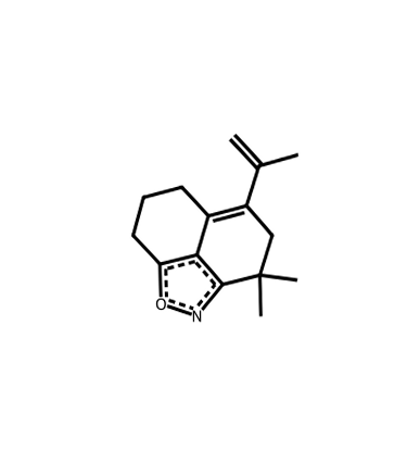 C=C(C)C1=C2CCCc3onc(c32)C(C)(C)C1